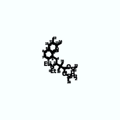 CCN(CC)C(Cc1cccc2cc(C)c(C)nc12)C(C)(C)C(O[SiH2]C)O[SiH2]C